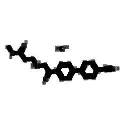 COC(=O)CCNCC(=O)c1ccc(-c2ccc(C#N)cc2)cc1.Cl